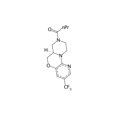 CCCC(=O)N1CCN2c3ncc(C(F)(F)F)cc3OC[C@H]2C1